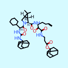 C=CCCC(NC(=O)[C@@H]1[C@@H]2[C@H](CN1C(=O)[C@@H](NC(=O)NC13CC4CC(CC(C4)C1)C3)C1CCCCC1)C2(C)C)C(=O)C(=O)NCCC(=O)OC12CC3CC(CC(C3)C1)C2